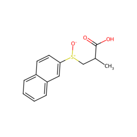 CC(C[S+]([O-])c1ccc2ccccc2c1)C(=O)O